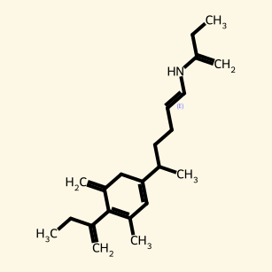 C=C(CC)N/C=C/CCC(C)C1=CC(C)=C(C(=C)CC)C(=C)C1